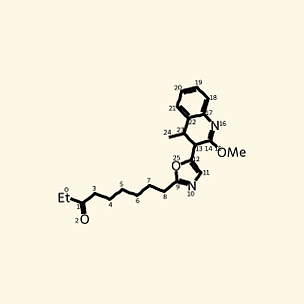 CCC(=O)CCCCCCc1ncc(C2C(OC)=Nc3ccccc3C2C)o1